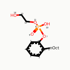 CCCCCCCCc1ccccc1OP(=O)(O)OCCO